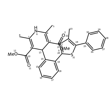 COC(=O)C1=C(C)NC(C)=C(C(=O)OC)C1c1ccccc1-c1nc(C)c(-c2ccccc2)s1